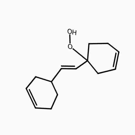 OOC1(C=CC2CC=CCC2)CC=CCC1